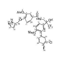 COc1cc(C(=O)NCC(O)(c2ccc(OC)c(-c3ccc(F)c(Cl)c3)n2)C(F)(F)F)ccc1OCc1ccn[nH]1